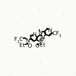 CCC(=O)N(CC(F)(F)F)c1cnc(-c2nc3cc(C(F)(F)F)ncc3n2C)c(S(=O)(=O)CC)c1